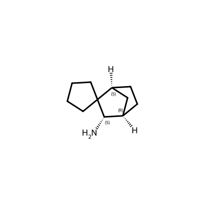 N[C@H]1[C@@H]2CC[C@@H](C2)C12CCCC2